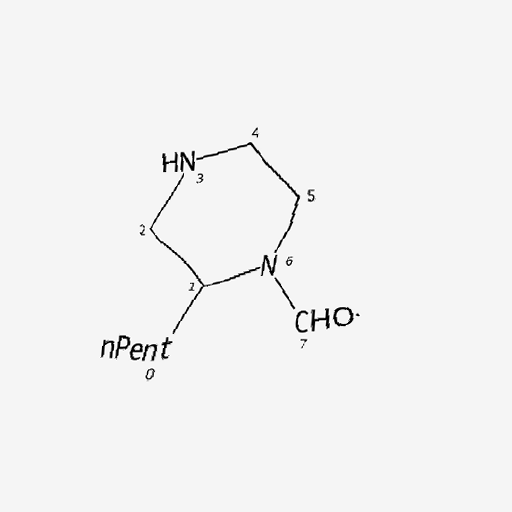 CCCCCC1CNCCN1[C]=O